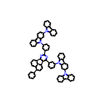 c1ccc(-c2ccc3c4c(cccc24)-c2nc(-c4cccc(-n5c6ccccc6c6ccc(-n7c8ccccc8c8ccccc87)cc65)c4)nc(-c4cccc(-n5c6ccccc6c6ccc(-n7c8ccccc8c8ccccc87)cc65)c4)c2-3)cc1